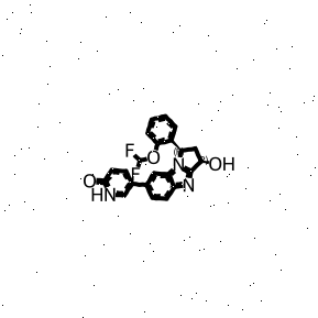 O=c1ccc(-c2ccc3nc4n(c3c2)[C@@H](c2ccccc2OC(F)F)C[C@H]4O)c[nH]1